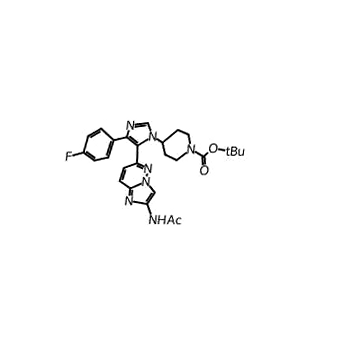 CC(=O)Nc1cn2nc(-c3c(-c4ccc(F)cc4)ncn3C3CCN(C(=O)OC(C)(C)C)CC3)ccc2n1